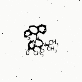 Cc1c2n(ccc1=O)N(C1c3ccccc3CCc3ccsc31)CN(C(C)C)C2=O